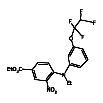 CCOC(=O)c1ccc(N(CC)c2cccc(OC(F)(F)C(F)F)c2)c([N+](=O)[O-])c1